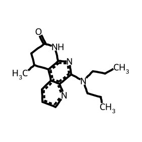 CCCN(CCC)c1nc2c(c3cccnc13)C(C)CC(=O)N2